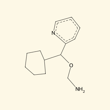 NCOC(c1ccccn1)C1CCCCC1